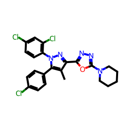 Cc1c(-c2nnc(N3CCCCC3)o2)nn(-c2ccc(Cl)cc2Cl)c1-c1ccc(Cl)cc1